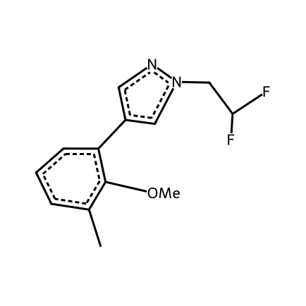 COc1c(C)cccc1-c1cnn(CC(F)F)c1